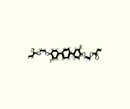 C=CC(=O)O/C=C\Oc1ccc(-c2ccc(-c3ccc(O/C=C\OC(=O)C=C)c(F)c3)cc2)cc1F